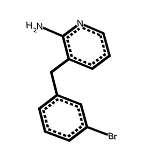 Nc1ncccc1Cc1cccc(Br)c1